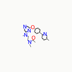 CCN(CCN(C)c1cncc(Oc2ccc(-c3ccc(C)cn3)cc2)n1)C(C)=O